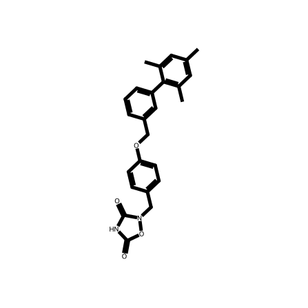 Cc1cc(C)c(-c2cccc(COc3ccc(Cn4oc(=O)[nH]c4=O)cc3)c2)c(C)c1